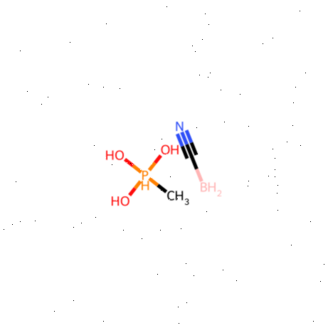 BC#N.C[PH](O)(O)O